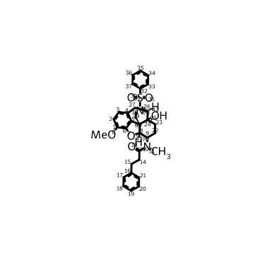 COc1ccc2c3c1O[C@H]1[C@H](N(C)C(=O)CCc4ccccc4)CC[C@@]4(O)[C@@H](C2)N(S(=O)(=O)c2ccccc2)CC[C@]314